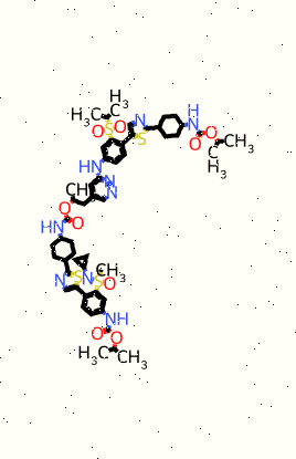 CC(C)OC(=O)Nc1ccc(-c2cnc(C3CCC(NC(=O)OC(C)Cc4cnnc(Nc5ccc(-c6cnc(C7CCC(NC(=O)OC(C)C)CC7)s6)c(S(=O)(=O)C(C)C)c5)c4)CC3)s2)c(S(C)(=O)=NC2CC2)c1